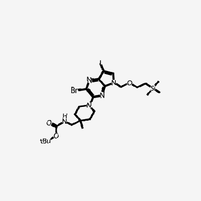 CC1(CNC(=O)OC(C)(C)C)CCN(c2nc3c(nc2Br)c(I)cn3COCC[Si](C)(C)C)CC1